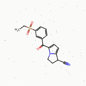 CCS(=O)(=O)c1cccc(C(=O)c2ccc3n2CCC3C#N)c1